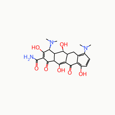 CN(C)c1ccc(O)c2c1CC1C(=C(O)C3C(=O)C(C(N)=O)=C(O)[C@@H](N(C)C)C3[C@H]1O)C2=O